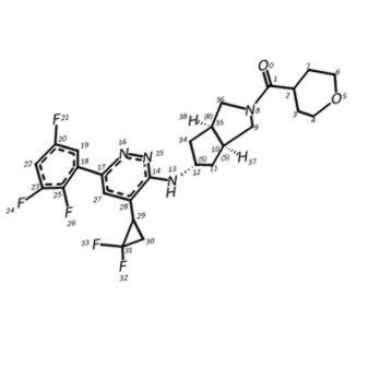 O=C(C1CCOCC1)N1C[C@H]2C[C@H](Nc3nnc(-c4cc(F)cc(F)c4F)cc3C3CC3(F)F)C[C@H]2C1